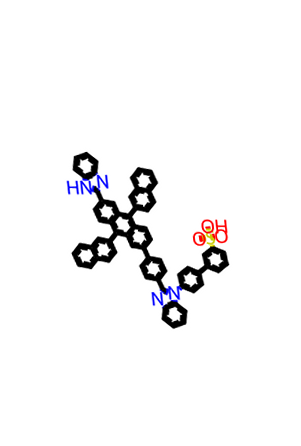 O=S(=O)(O)c1cccc(-c2ccc(-n3c(-c4ccc(-c5ccc6c(-c7ccc8ccccc8c7)c7cc(-c8nc9ccccc9[nH]8)ccc7c(-c7ccc8ccccc8c7)c6c5)cc4)nc4ccccc43)cc2)c1